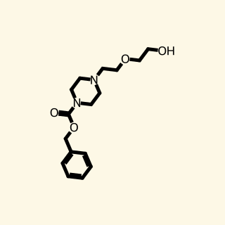 O=C(OCc1ccccc1)N1CCN(CCOCCO)CC1